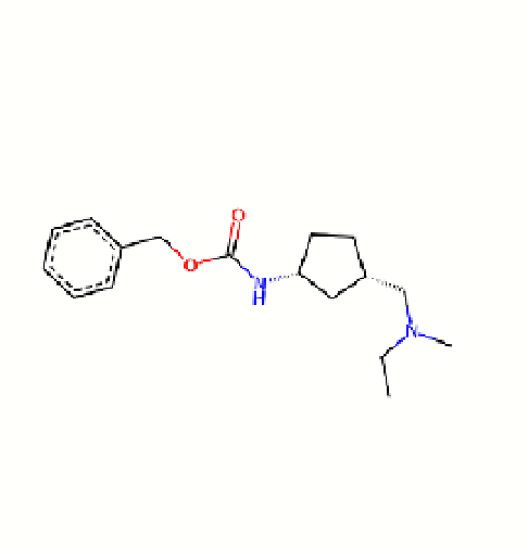 CCN(C)C[C@H]1CC[C@@H](NC(=O)OCc2ccccc2)C1